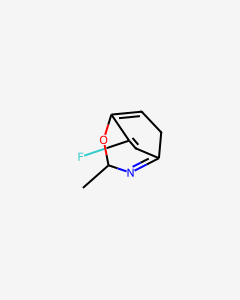 CC1N=C2C=C(F)C(=CC2)O1